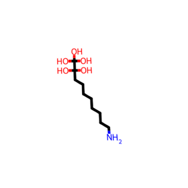 NCCCCCCCCC(O)(O)C(O)(O)O